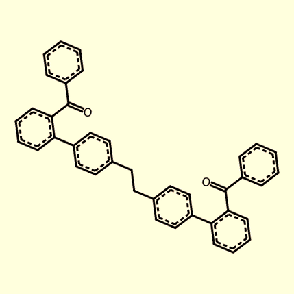 O=C(c1ccccc1)c1ccccc1-c1ccc(CCc2ccc(-c3ccccc3C(=O)c3ccccc3)cc2)cc1